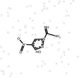 Cl.N=C(N)n1cc([N+](=O)[O-])cn1